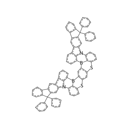 c1ccc(C2(c3ccccc3)c3ccccc3-c3cc4c5cccc6c5n(c4cc32)-c2cccc3c2B6c2cc4c(cc2S3)Sc2cccc3c2B4c2cccc4c5cc6c(cc5n-3c24)C(c2ccccc2)(c2ccccc2)c2ccccc2-6)cc1